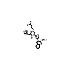 CCC(=O)CCCCC[C@H](NC(=O)Cn1cncn1)c1ncc(-c2cc3ccccc3nc2OC)o1